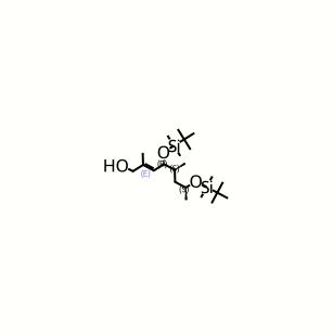 C/C(=C\[C@H](O[Si](C)(C)C(C)(C)C)[C@@H](C)C[C@H](C)O[Si](C)(C)C(C)(C)C)CO